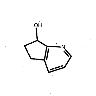 OC1CCc2[c]ccnc21